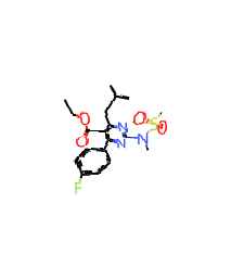 CCOC(=O)c1c(CC(C)C)nc(N(C)S(C)(=O)=O)nc1-c1ccc(F)cc1